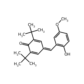 COc1ccc(O)c(C=C2C=C(C(C)(C)C)C(=O)C(C(C)(C)C)=C2)c1